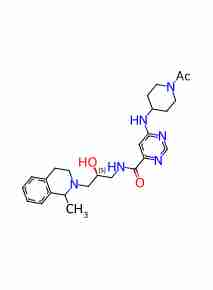 CC(=O)N1CCC(Nc2cc(C(=O)NC[C@H](O)CN3CCc4ccccc4C3C)ncn2)CC1